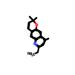 Cc1cc(CC(=O)O)nc2cc3c(cc12)OC(C)(C)C=C3